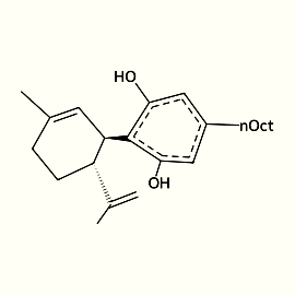 C=C(C)[C@@H]1CCC(C)=C[C@H]1c1c(O)cc(CCCCCCCC)cc1O